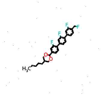 CCCCCC1COC(c2ccc(-c3ccc(-c4ccc(CF)c(F)c4)c(F)c3)c(F)c2)OC1